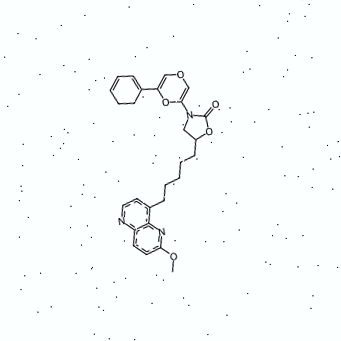 COc1ccc2nccc(CCCCCC3CN(C4=COC=C(C5=CC=CCC5)O4)C(=O)O3)c2n1